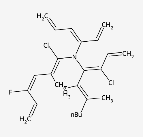 C=C/C=C(/C=C)N(/C(Cl)=C(C)/C=C(/F)C=C)C(=C(/Cl)C=C)/C(C)=C(\C)CCCC